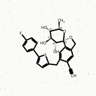 C#Cc1cc2c(cc1Cc1ccc(-c3ccc(F)cc3)s1)[C@]1(OC2)O[C@H](C)[C@@H](O)[C@H](O)[C@H]1O